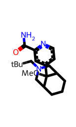 COC1(c2ccnc(C(N)=O)c2)C2CCCC1CN(CC(C)(C)C)C2